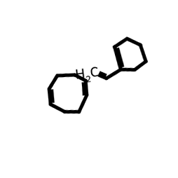 C1=CCCC=CCC1.C=CC1=CCCCC1